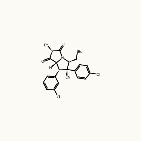 CCN1C(=O)[C@H]2[C@H](c3cccc(Cl)c3)[C@@](C#N)(c3ccc(Cl)cc3)[C@H](CC(C)(C)C)N2C1=O